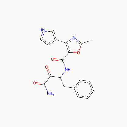 Cc1nc(-c2cc[nH]c2)c(C(=O)NC(Cc2ccccc2)C(=O)C(N)=O)o1